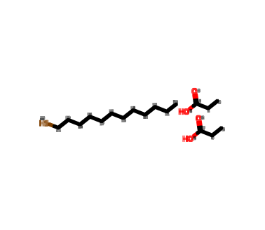 CCC(=O)O.CCC(=O)O.CCCCCCCCCCCCS